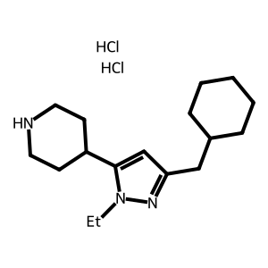 CCn1nc(CC2CCCCC2)cc1C1CCNCC1.Cl.Cl